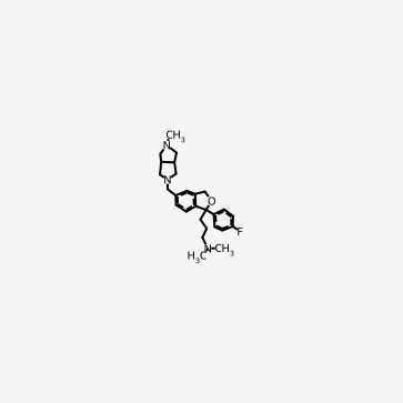 CN(C)CCCC1(c2ccc(F)cc2)OCc2cc(CN3CC4CN(C)CC4C3)ccc21